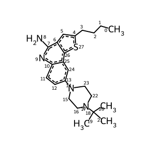 CCCCc1cc2c(N)nc3ccc(N4CCN(C(C)(C)C)CC4)cc3c2s1